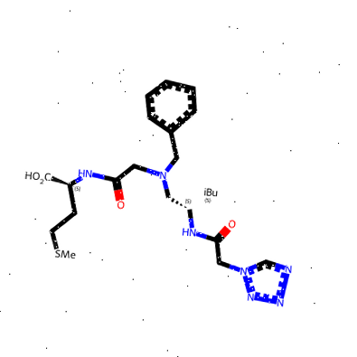 CC[C@H](C)[C@@H](CN(CC(=O)N[C@@H](CCSC)C(=O)O)Cc1ccccc1)NC(=O)Cn1cnnn1